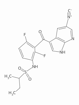 [C-]#[N+]c1cnc2[nH]cc(C(=O)c3c(F)ccc(NS(=O)(=O)C(C)CC)c3F)c2c1